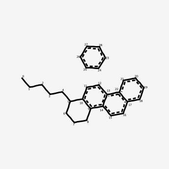 CCCCCC1CCCc2c1ccc1c2ccc2ccccc21.c1ccccc1